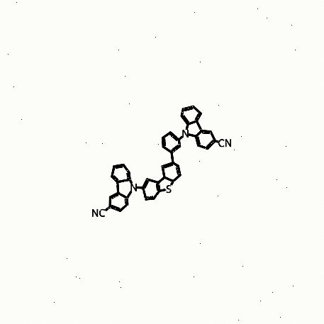 N#Cc1ccc2c(c1)c1ccccc1n2-c1cccc(C2=CC3c4cc(-n5c6ccccc6c6cc(C#N)ccc65)ccc4SC3C=C2)c1